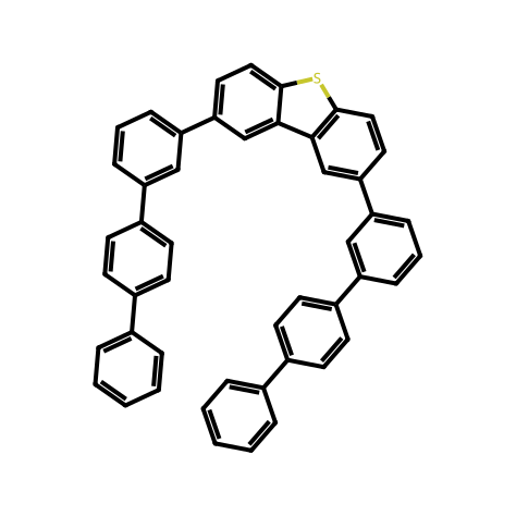 c1ccc(-c2ccc(-c3cccc(-c4ccc5sc6ccc(-c7cccc(-c8ccc(-c9ccccc9)cc8)c7)cc6c5c4)c3)cc2)cc1